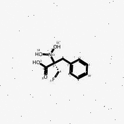 O=C(O)[C@](CF)(Cc1ccccc1)N(O)O